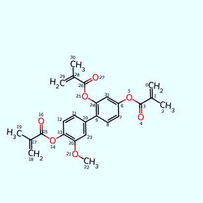 C=C(C)C(=O)Oc1ccc(-c2ccc(OC(=O)C(=C)C)c(OC)c2)c(OC(=O)C(=C)C)c1